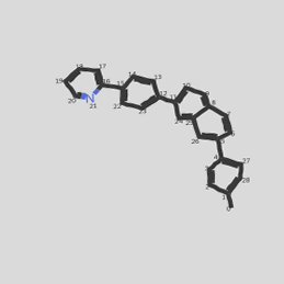 Cc1ccc(-c2ccc3ccc(-c4ccc(-c5ccccn5)cc4)cc3c2)cc1